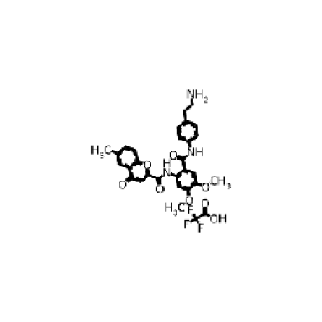 COc1cc(NC(=O)c2cc(=O)c3cc(C)ccc3o2)c(C(=O)Nc2ccc(CCN)cc2)cc1OC.O=C(O)C(F)(F)F